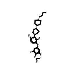 CCCC[C@H]1CC[C@H](C2CCC(c3c(F)c[c]c(Oc4cc(F)c(OC(F)F)c(F)c4)c3F)CC2)CC1